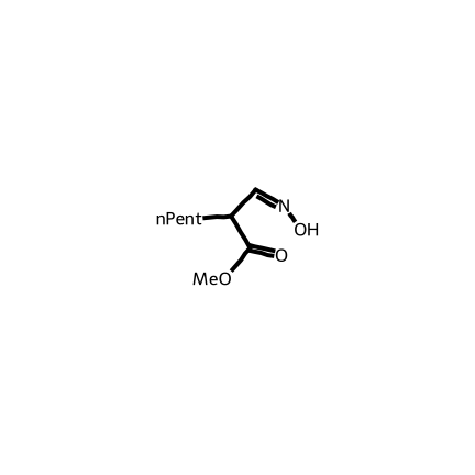 CCCCCC(/C=N\O)C(=O)OC